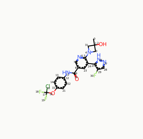 CC1(O)CN(c2ncc(C(=O)Nc3ccc(OC(F)(F)Cl)cc3)cc2-c2[nH]ncc2F)C1